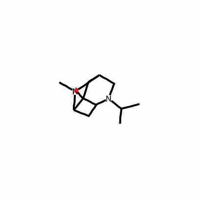 CC(C)N1CC2CC3(I)C(CC13)N2C